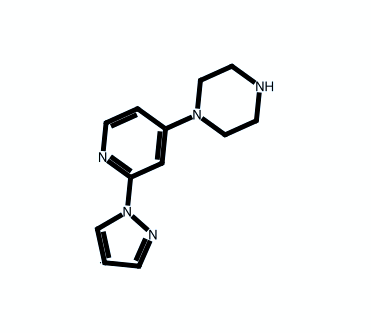 [c]1cnn(-c2cc(N3CCNCC3)ccn2)c1